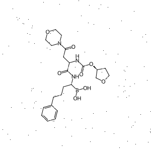 O=C(NC(CC(=O)N1CCOCC1)C(=O)NC(CCCc1ccccc1)B(O)O)O[C@H]1CCOC1